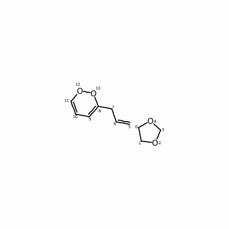 C1COCO1.C=CCC1=CC=COO1